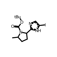 CC1CCC(c2ncc(I)[nH]2)N1C(=O)OC(C)(C)C